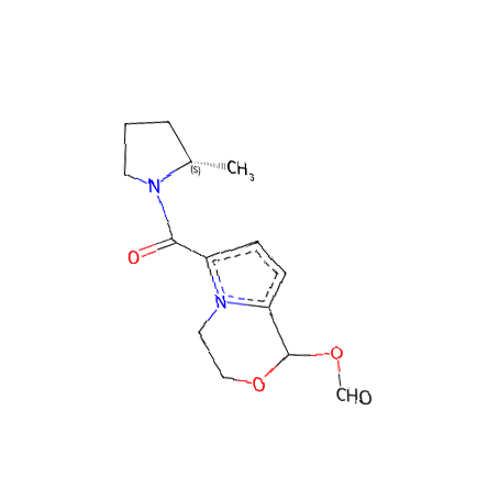 C[C@H]1CCCN1C(=O)c1ccc2n1CCOC2OC=O